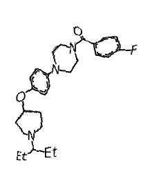 CCC(CC)N1CCC(Oc2ccc(N3CCN(C(=O)c4ccc(F)cc4)CC3)cc2)CC1